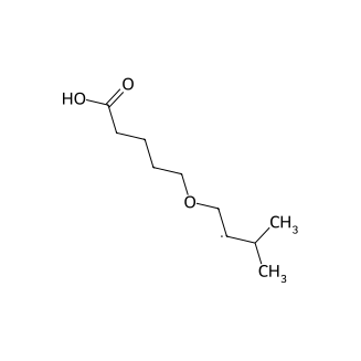 CC(C)[CH]COCCCCC(=O)O